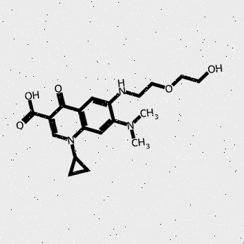 CN(C)c1cc2c(cc1NCCOCCO)c(=O)c(C(=O)O)cn2C1CC1